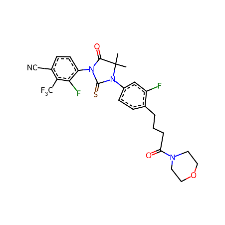 CC1(C)C(=O)N(c2ccc(C#N)c(C(F)(F)F)c2F)C(=S)N1c1ccc(CCCC(=O)N2CCOCC2)c(F)c1